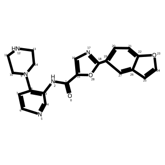 O=C(Nc1cnccc1N1CCNCC1)c1cnc(-c2ccc3occc3c2)o1